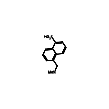 CNCc1cccc2c(S(=O)(=O)O)cccc12